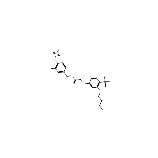 CCCCOc1cc(OCC(=O)NCc2ccc(NS(C)(=O)=O)c(F)c2)ccc1C(C)(C)C